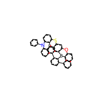 c1ccc(-c2cccc(-c3ccccc3)c2B2c3ccccc3Oc3cc4c(cc32)B2c3ccccc3N(c3ccccc3)c3cccc(c32)S4)cc1